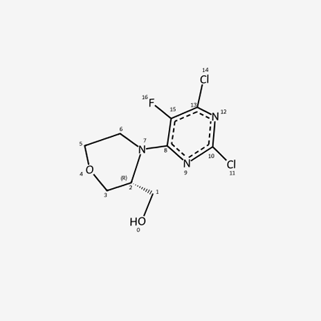 OC[C@@H]1COCCN1c1nc(Cl)nc(Cl)c1F